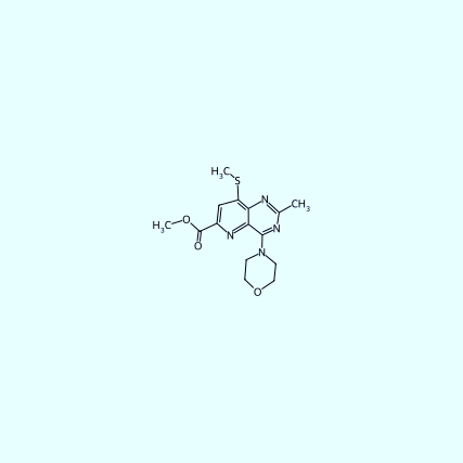 COC(=O)c1cc(SC)c2nc(C)nc(N3CCOCC3)c2n1